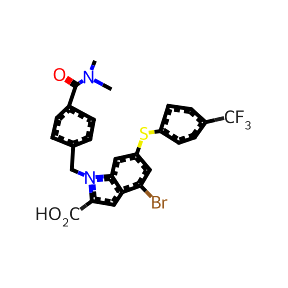 CN(C)C(=O)c1ccc(Cn2c(C(=O)O)cc3c(Br)cc(Sc4ccc(C(F)(F)F)cc4)cc32)cc1